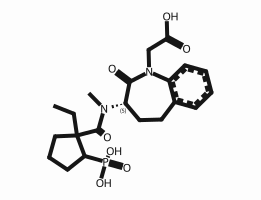 CCC1(C(=O)N(C)[C@H]2CCc3ccccc3N(CC(=O)O)C2=O)CCCC1P(=O)(O)O